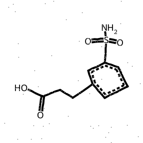 NS(=O)(=O)c1cccc(CCC(=O)O)c1